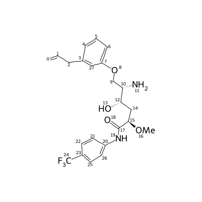 C=CCc1cccc(OC[C@H](N)[C@@H](O)C[C@@H](OC)C(=O)Nc2ccc(C(F)(F)F)cc2)c1